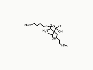 CCCCCCCCCCCCCCCCOC(O)(CC)C(CCCCCCCCCCCCCC)(C(N)=O)C(C)O